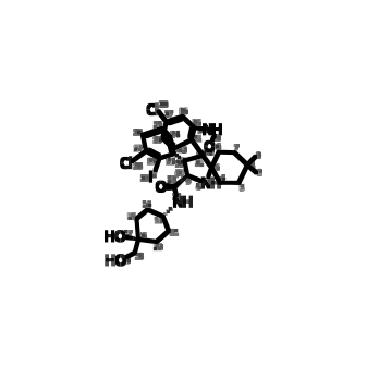 CC1(C)CCC2(CC1)N[C@@H](C(=O)N[C@H]1CC[C@@](O)(CO)CC1)[C@H](c1cccc(Cl)c1F)[C@]21OCNc2cc(Cl)ccc21